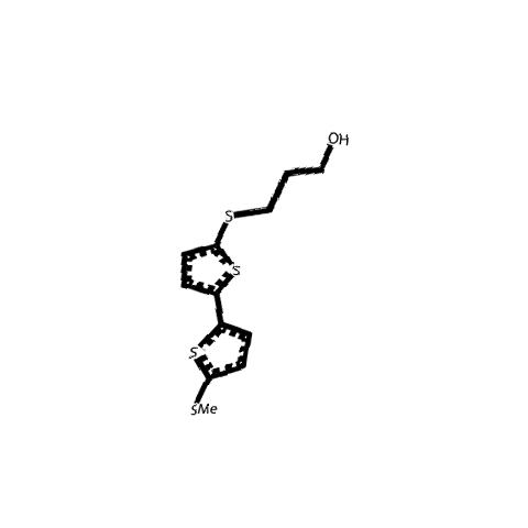 CSc1ccc(-c2ccc(SCCCO)s2)s1